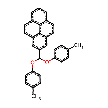 Cc1ccc(OC(Oc2ccc(C)cc2)c2cc3ccc4cccc5ccc(c2)c3c45)cc1